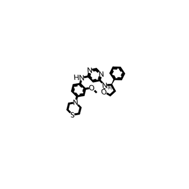 COc1cc(N2CCSCC2)ccc1Nc1cc(N2OCC[C@@H]2c2ccccc2)ncn1